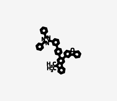 CC1(C)c2ccccc2-c2cc(-c3ccc4oc5ccccc5c4c3)c(-c3ccc(-c4cccc(-c5nc(-c6ccccc6)nc(-c6ccccc6)n5)c4)cc3)cc21